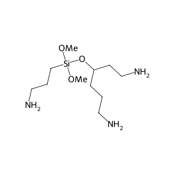 CO[Si](CCCN)(OC)OC(CCN)CCCN